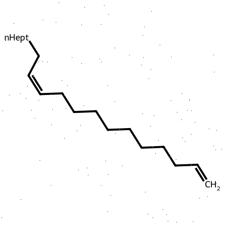 C=CCCCCCCCC/C=C\CCCCCCCC